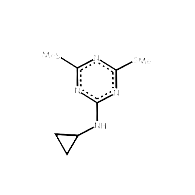 CSc1nc(NC2CC2)nc(SC)n1